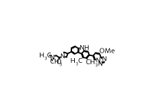 COc1cc(-c2cc3[nH]c4ccc(C5CN(C(=O)CN(C)C)C5)cc4c3c(C)c2C)cn2ncnc12